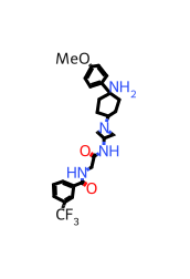 COc1ccc(C2(N)CCC(N3CC(NC(=O)CNC(=O)c4cccc(C(F)(F)F)c4)C3)CC2)cc1